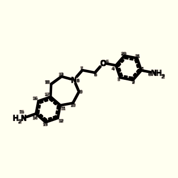 Nc1ccc(OCCN2CCc3ccc(N)cc3CC2)cc1